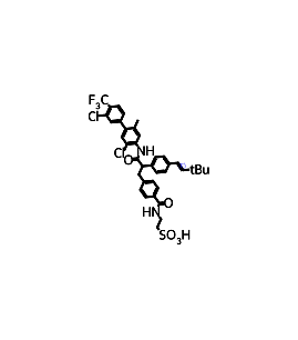 Cc1cc(NC(=O)C(Cc2ccc(C(=O)NCCS(=O)(=O)O)cc2)c2ccc(/C=C/C(C)(C)C)cc2)c(Cl)cc1-c1ccc(C(F)(F)F)c(Cl)c1